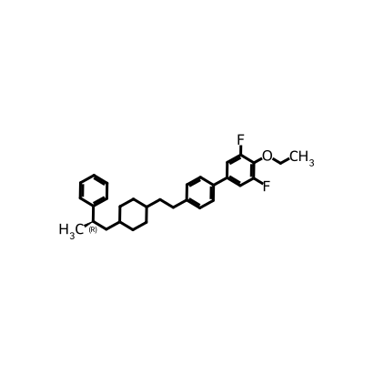 CCOc1c(F)cc(-c2ccc(CCC3CCC(C[C@@H](C)c4ccccc4)CC3)cc2)cc1F